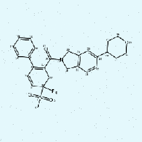 CS(=O)(=O)C1(F)C=CC(c2ccccc2)=C(C(=O)N2Cc3ccc(C4CCOCC4)cc3C2)C1